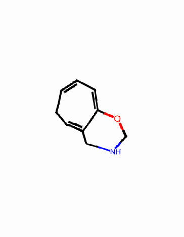 C1=CCC=C2CNCOC2=C1